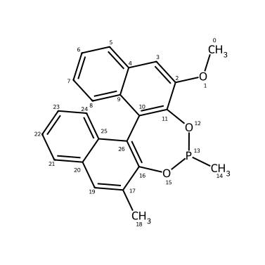 COc1cc2ccccc2c2c1op(C)oc1c(C)cc3ccccc3c12